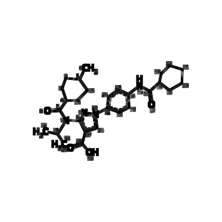 CC1CCC(C(=O)N(c2nn(-c3ccc(NC(=O)C4CCCCC4)cc3)cc2C(=O)O)C(C)C)CC1